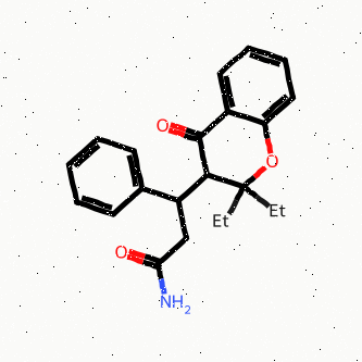 CCC1(CC)Oc2ccccc2C(=O)C1C(CC(N)=O)c1ccccc1